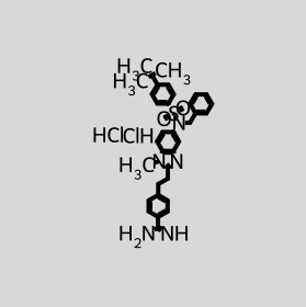 Cl.Cl.Cn1c(CCc2ccc(C(=N)N)cc2)nc2cc(N(Cc3ccccc3)S(=O)(=O)c3ccc(C(C)(C)C)cc3)ccc21